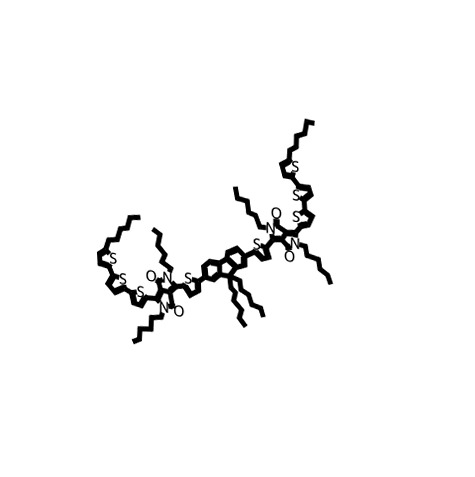 CCCCCCc1ccc(-c2ccc(-c3ccc(C4=C5C(=O)N(CCCCCC)C(c6ccc(-c7ccc8c(c7)C(CCCCCC)(CCCCCC)c7cc(-c9ccc(C%10=C%11C(=O)N(CCCCCC)C(c%12ccc(-c%13ccc(-c%14ccc(CCCCCC)s%14)s%13)s%12)=C%11C(=O)N%10CCCCCC)s9)ccc7-8)s6)=C5C(=O)N4CCCCCC)s3)s2)s1